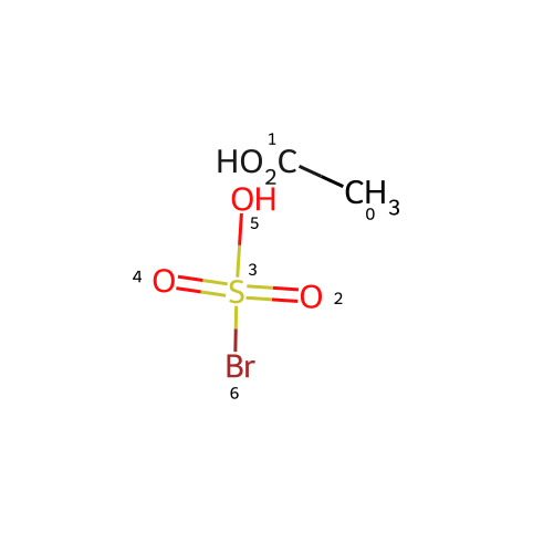 CC(=O)O.O=S(=O)(O)Br